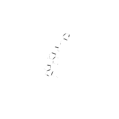 N#Cc1cnc2[nH]cc(C(O)C3=C(F)C(NC(=O)OCc4ccccc4)=CC[C@@H]3F)c2c1